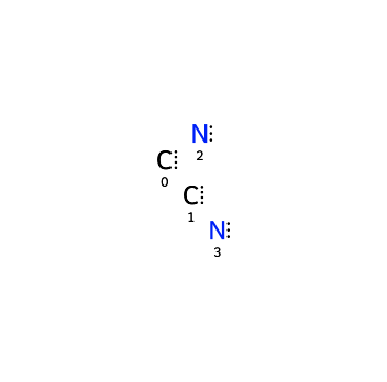 [C].[C].[N].[N]